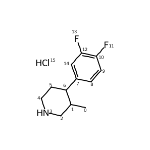 CC1CNCCC1c1ccc(F)c(F)c1.Cl